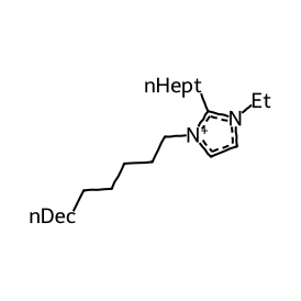 CCCCCCCCCCCCCCC[n+]1ccn(CC)c1CCCCCCC